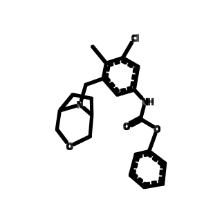 Cc1c(Cl)cc(NC(=O)Oc2ccccc2)cc1CN1C2CCC1COC2